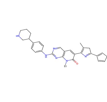 CCn1c(=O)c(C2=C(C)CC(C3=CCC=C3)=N2)cc2cnc(Nc3ccc(C4CCCNC4)cc3)nc21